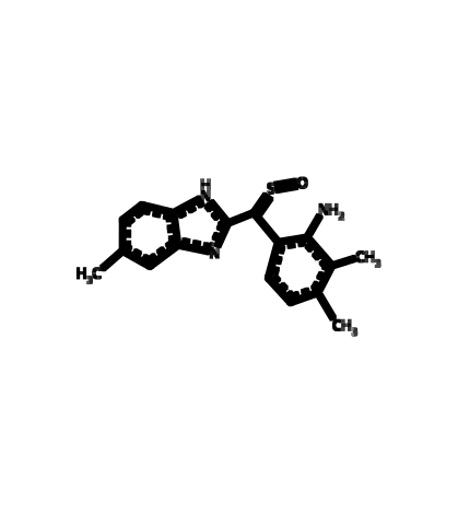 Cc1ccc2[nH]c(C(=S=O)c3ccc(C)c(C)c3N)nc2c1